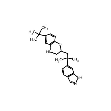 CC(C)(C)c1ccc2c(c1)NCC(CC(C)(C)c1ccc3cn[nH]c3c1)O2